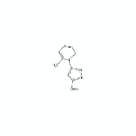 COc1nnc(N2CC=CC=C2C)s1